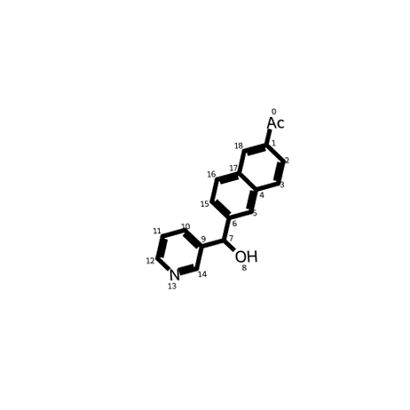 CC(=O)c1ccc2cc(C(O)c3cccnc3)ccc2c1